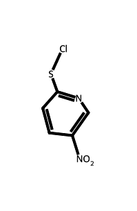 O=[N+]([O-])c1ccc(SCl)nc1